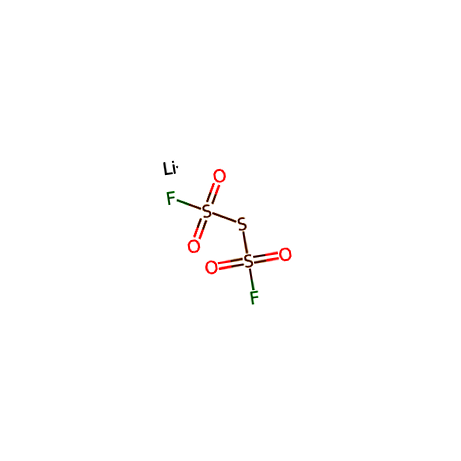 O=S(=O)(F)SS(=O)(=O)F.[Li]